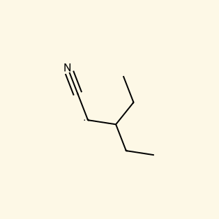 CCC([CH]C#N)CC